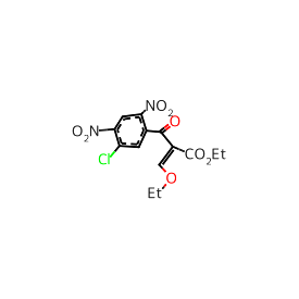 CCOC=C(C(=O)OCC)C(=O)c1cc(Cl)c([N+](=O)[O-])cc1[N+](=O)[O-]